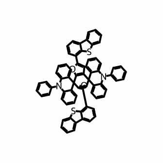 c1ccc(N2c3ccccc3C3(c4ccccc42)c2cc(-c4cccc5c4sc4ccccc45)oc2C2(c4ccccc4N(c4ccccc4)c4ccccc42)c2cc(-c4cccc5c4sc4ccccc45)oc23)cc1